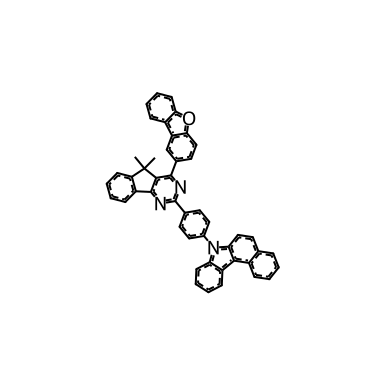 CC1(C)c2ccccc2-c2nc(-c3ccc(-n4c5ccccc5c5c6ccccc6ccc54)cc3)nc(-c3ccc4oc5ccccc5c4c3)c21